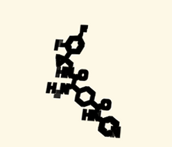 NC(C(=O)NCC1(c2ccc(F)cc2F)CC1)C1CCC(C(=O)Nc2ccncc2)CC1